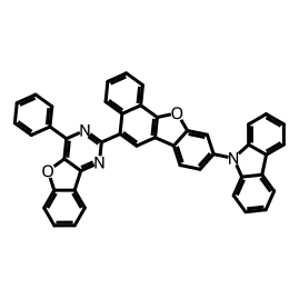 c1ccc(-c2nc(-c3cc4c5ccc(-n6c7ccccc7c7ccccc76)cc5oc4c4ccccc34)nc3c2oc2ccccc23)cc1